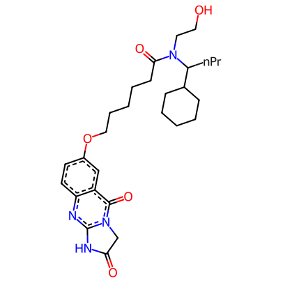 CCCC(C1CCCCC1)N(CCO)C(=O)CCCCCOc1ccc2nc3n(c(=O)c2c1)CC(=O)N3